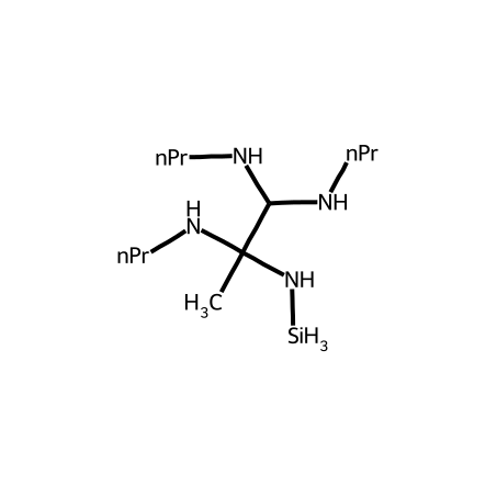 CCCNC(NCCC)C(C)(N[SiH3])NCCC